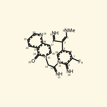 CN/C=C(\C=N)c1cc(F)c(=N)n(C(=N)Cn2ccc3ncccc3c2=O)c1